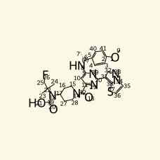 COc1ccc([C@@H](C)Nc2cc(C(=O)N3CCC(N(C(=O)O)C(C)(C)CF)CC3)nc(-c3cnn4ccsc34)n2)cc1